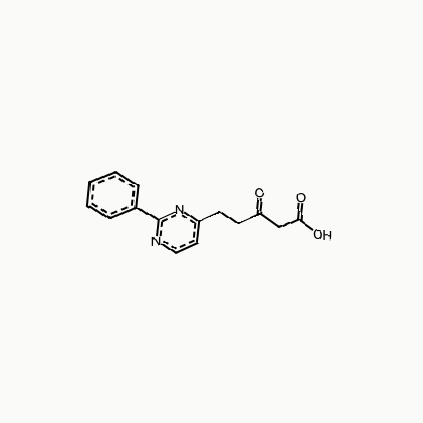 O=C(O)CC(=O)CCc1ccnc(-c2ccccc2)n1